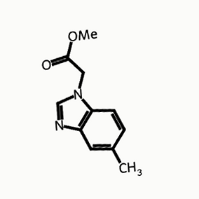 COC(=O)Cn1cnc2cc(C)ccc21